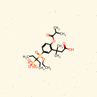 CCOP(=O)(c1ccc(OC(=O)C(C)C)c(C(C)(C)CC(=O)O)c1)C(CC)(CC)P(=O)(O)O